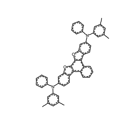 Cc1cc(C)cc(N(c2ccccc2)c2ccc3c(c2)oc2c4oc5cc(N(c6ccccc6)c6cc(C)cc(C)c6)ccc5c4c4ccccc4c32)c1